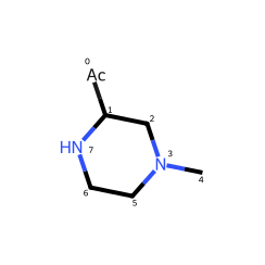 CC(=O)C1CN(C)CCN1